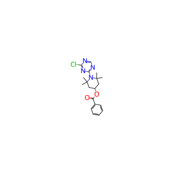 CC1(C)CC(OC(=O)c2ccccc2)CC(C)(C)N1c1ncnc(Cl)n1